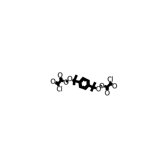 CC(C)(OOC(=O)C(=O)Cl)c1ccc(C(C)(C)OOC(=O)C(=O)Cl)cc1